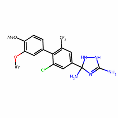 COc1ccc(-c2c(Cl)cc(C3(N)N=C(N)NN3)cc2C(F)(F)F)cc1OC(C)C